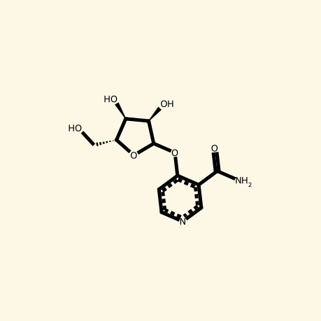 NC(=O)c1cnccc1OC1O[C@H](CO)[C@@H](O)[C@H]1O